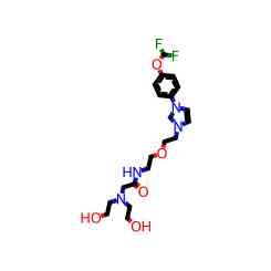 O=C(CN(CCO)CCO)NCCOCCN1C=CN(c2ccc(OC(F)F)cc2)C1